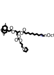 CCCCCCCC/C=C/CCCCCCCC(=O)OCC(COC(=O)CC12C[C@H](C)C[C@H](C[C@H](C)C1)C2)COC(=O)OCCCN1CCCC1